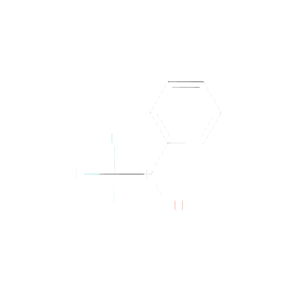 OB(c1ccccc1)C(F)(F)F